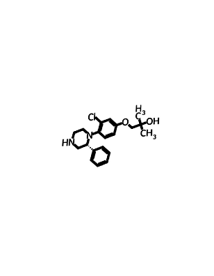 CC(C)(O)COc1ccc(N2CCNC[C@H]2c2ccccc2)c(Cl)c1